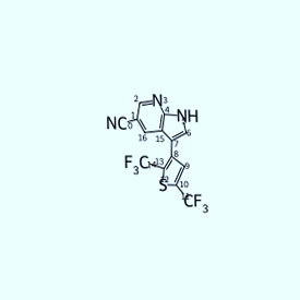 N#Cc1cnc2[nH]cc(-c3cc(C(F)(F)F)sc3C(F)(F)F)c2c1